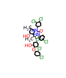 Cc1ccc(C(C)C)c(O)c1.O=C(Nc1ccc(Cl)cc1)Nc1ccc(Cl)c(Cl)c1.Oc1cc(Cl)ccc1Oc1ccc(Cl)cc1Cl